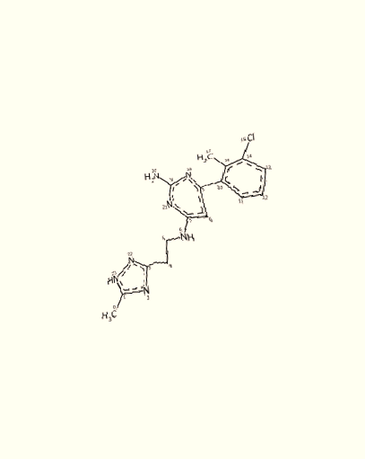 Cc1nc(CCNc2cc(-c3cccc(Cl)c3C)nc(N)n2)n[nH]1